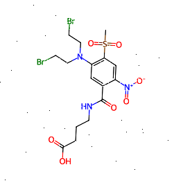 CS(=O)(=O)c1cc([N+](=O)[O-])c(C(=O)NCCCC(=O)O)cc1N(CCBr)CCBr